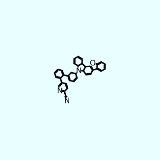 N#Cc1ccc(-c2ccccc2C2=CC=CC(N3C4C=CC=CC4C4c5oc6ccccc6c5C=CC43)C2)cn1